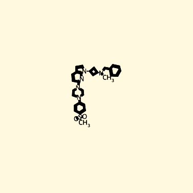 CN(Cc1ccccc1)[C@H]1C[C@@H](n2ccc3ccc(N4CCN(c5ccc(S(C)(=O)=O)cc5)CC4)nc32)C1